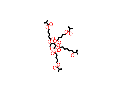 C=C(C)C(=O)CCCCCC(=O)O[C@H]1C(OC(=O)CCCCOC(=O)C(=C)C)OC[C@@H](OC(=O)CCCCOC(=O)C(=C)C)C1OC(=O)CCCCOC(=O)C(=C)C